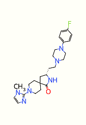 Cn1ccnc1N1CCC2(CC1)C[C@H](CCN1CCN(c3ccc(F)cc3)CC1)NC2=O